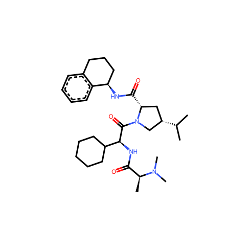 CC(C)[C@H]1C[C@@H](C(=O)N[C@@H]2CCCc3ccccc32)N(C(=O)[C@@H](NC(=O)[C@H](C)N(C)C)C2CCCCC2)C1